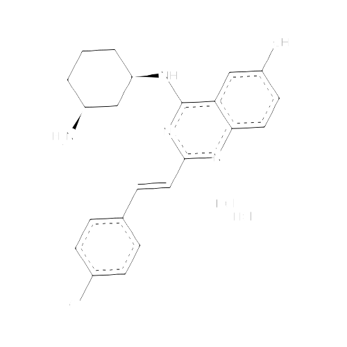 Cc1ccc2nc(C=Cc3ccc(Cl)cc3)nc(N[C@@H]3CCC[C@H](N)C3)c2c1.Cl.Cl